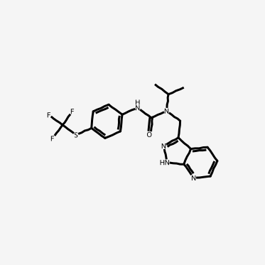 CC(C)N(Cc1n[nH]c2ncccc12)C(=O)Nc1ccc(SC(F)(F)F)cc1